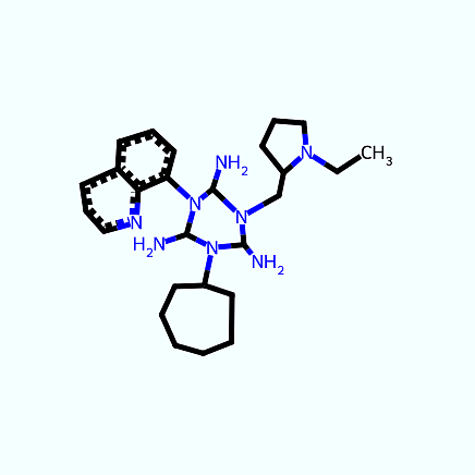 CCN1CCCC1CN1C(N)N(c2cccc3cccnc23)C(N)N(C2CCCCCC2)C1N